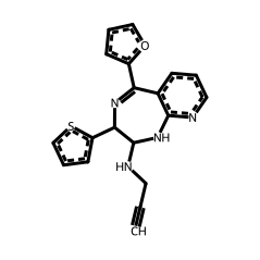 C#CCNC1Nc2ncccc2C(c2ccco2)=NC1c1cccs1